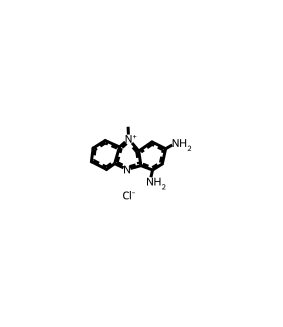 C[n+]1c2ccccc2nc2c(N)cc(N)cc21.[Cl-]